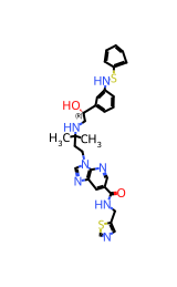 CC(C)(CCn1cnc2cc(C(=O)NCc3cncs3)cnc21)NC[C@H](O)c1cccc(NSc2ccccc2)c1